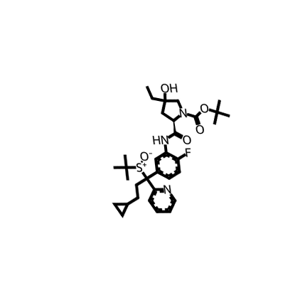 CCC1(O)C[C@H](C(=O)Nc2cc(C(CCC3CC3)(c3ccccn3)[S@@+]([O-])C(C)(C)C)ccc2F)N(C(=O)OC(C)(C)C)C1